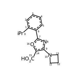 CC(C)c1ccccc1-c1nc(N2CCC2)c(C(=O)O)o1